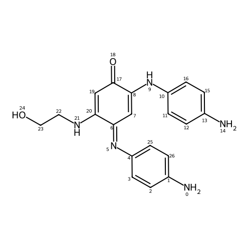 Nc1ccc(N=C2C=C(Nc3ccc(N)cc3)C(=O)C=C2NCCO)cc1